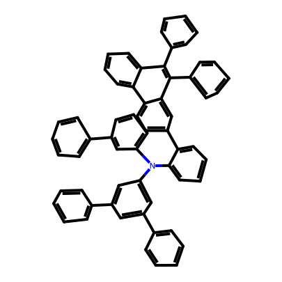 c1ccc(-c2cccc(N(c3cc(-c4ccccc4)cc(-c4ccccc4)c3)c3ccccc3-c3ccc4c(c3)c(-c3ccccc3)c(-c3ccccc3)c3ccccc34)c2)cc1